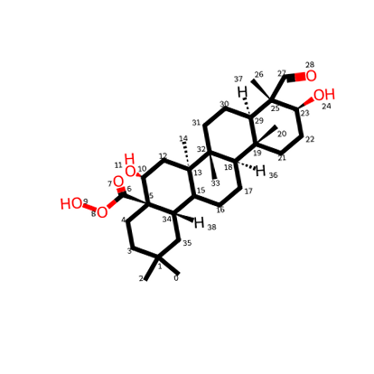 CC1(C)CC[C@]2(C(=O)OO)[C@H](O)C[C@]3(C)C(CC[C@@H]4[C@@]5(C)CC[C@H](O)[C@@](C)(C=O)[C@@H]5CC[C@]43C)[C@@H]2C1